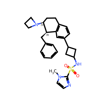 Cn1ccnc1S(=O)(=O)NC1CC(c2ccc3c(c2)[C@@H](Cc2ccccc2)[C@@H](N2CCC2)CC3)C1